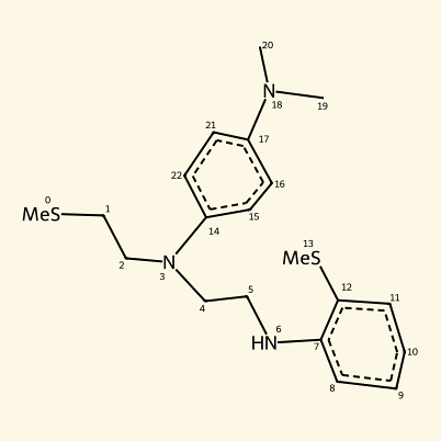 CSCCN(CCNc1ccccc1SC)c1ccc(N(C)C)cc1